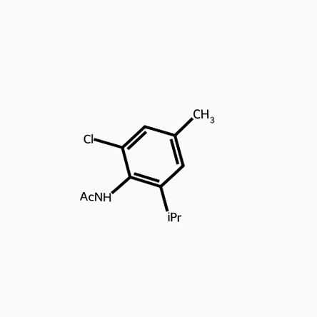 CC(=O)Nc1c(Cl)cc(C)cc1C(C)C